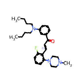 CCCCN(CCCC)c1cccc(C(=O)/C=C/c2c(F)cccc2N2CCN(C)CC2)c1